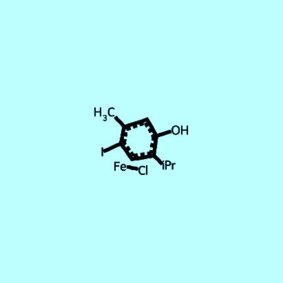 Cc1cc(O)c(C(C)C)cc1I.[Cl][Fe]